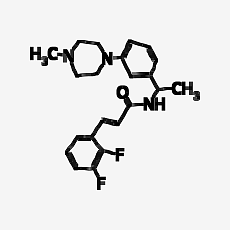 CC(NC(=O)C=Cc1cccc(F)c1F)c1cccc(N2CCN(C)CC2)c1